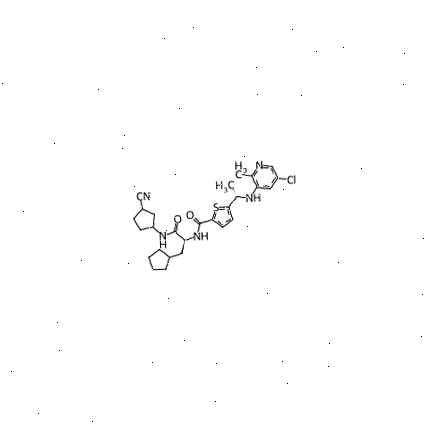 Cc1ncc(Cl)cc1N[C@@H](C)c1ccc(C(=O)N[C@@H](CC2CCCC2)C(=O)NC2CCC(C#N)C2)s1